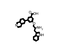 N[C@@H](COc1cc(C(=O)O)cc(-c2ccc3cnccc3c2)c1)Cc1c[nH]c2ccccc12